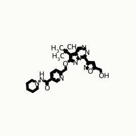 CC(C)(C)c1c(OCc2ccc(C(=O)NN3CCCCC3)cn2)nn2c(-c3cc(CO)on3)nncc12